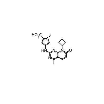 Cc1nc(Nc2cc(C(=O)O)n(C)c2)nc2c1ccc(=O)n2C1CCC1